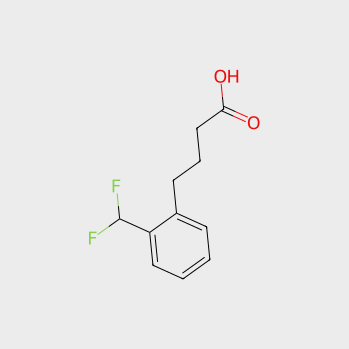 O=C(O)CCCc1ccccc1C(F)F